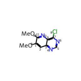 COc1cc2ncnc(Cl)c2nc1OC